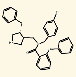 O=C(c1ccccc1Oc1ccccc1)N(Cc1ccc(Cl)cc1)CC1CNC[C@@H]1Cc1ccccc1